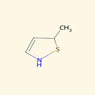 CC1C=CNS1